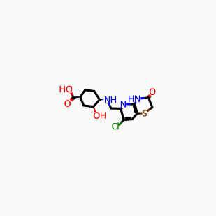 O=C1CSc2cc(Cl)c(CN[C@H]3CC[C@H](C(=O)O)C[C@@H]3O)nc2N1